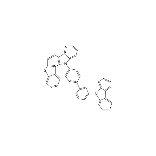 c1cc(-c2ccc(-n3c4ccccc4c4ccc5sc6ccccc6c5c43)cc2)cc(-n2c3ccccc3c3ccccc32)c1